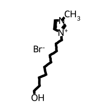 Cn1cc[n+](CCCCCCCCCCO)c1.[Br-]